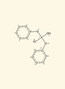 CCC(O)(Oc1ccccc1)Oc1ccccc1